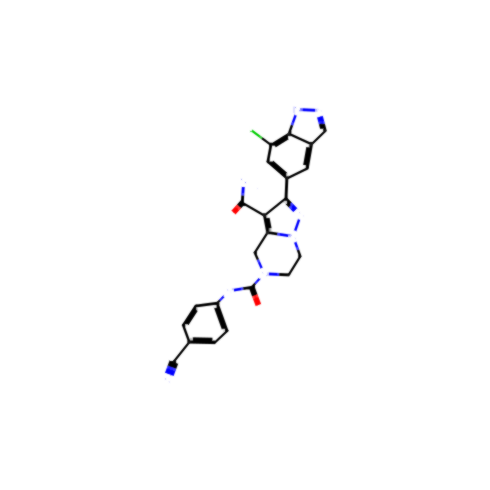 N#Cc1ccc(NC(=O)N2CCn3nc(-c4cc(Cl)c5[nH]ncc5c4)c(C(N)=O)c3C2)cc1